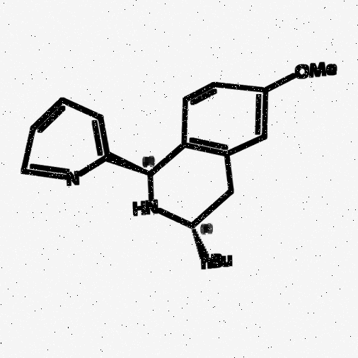 CCCC[C@H]1Cc2cc(OC)ccc2[C@H](c2ccccn2)N1